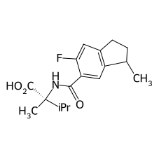 CC1CCc2cc(F)c(C(=O)N[C@@](C)(C(=O)O)C(C)C)cc21